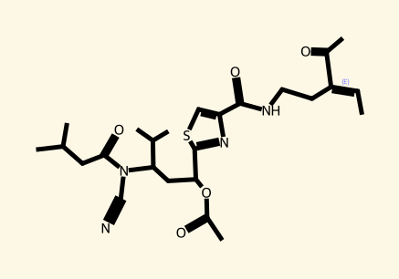 C/C=C(\CCNC(=O)c1csc(C(CC(C(C)C)N(C#N)C(=O)CC(C)C)OC(C)=O)n1)C(C)=O